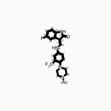 CC(=O)N1CCN(c2ccc(N/C=C3/C(=O)Nc4ccc(F)cc43)cc2C(F)(F)F)CC1